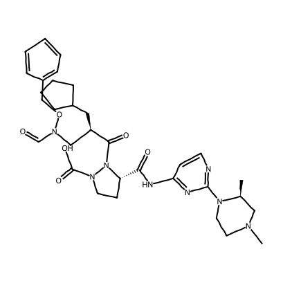 C[C@H]1CN(C)CCN1c1nccc(NC(=O)[C@@H]2CCN(C(=O)O)N2C(=O)[C@H](CC2CCCC2)CN(C=O)OCc2ccccc2)n1